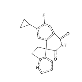 O=C1NC(=O)C2(CCc3ncccc32)c2cc(C3CC3)c(F)cc21